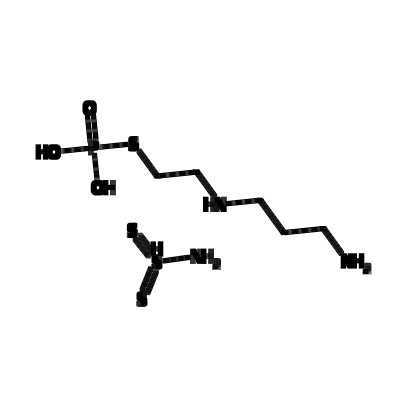 NCCCNCCSP(=O)(O)O.N[SH](=S)=S